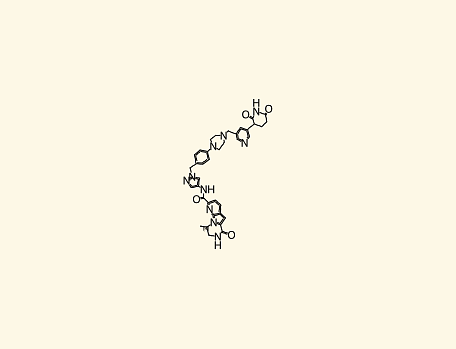 C[C@@H]1CNC(=O)c2cc3ccc(C(=O)Nc4cnn(Cc5ccc(N6CCN(Cc7cncc(C8CCC(=O)NC8=O)c7)CC6)cc5)c4)nc3n21